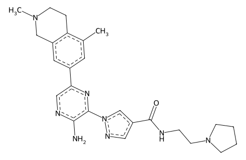 Cc1cc(-c2cnc(N)c(-n3cc(C(=O)NCCN4CCCC4)cn3)n2)cc2c1CCN(C)C2